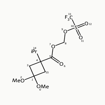 COC1(OC)CC(C(=O)OCOS(=O)(=O)C(F)(F)F)(C(C)C)C1